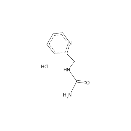 Cl.NC(=O)NCc1ccccn1